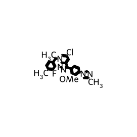 COc1cc(-c2nnc3n(C(C)c4ccc(C)c(F)c4)cc(Cl)cc2-3)ccc1-n1cnc(C)c1